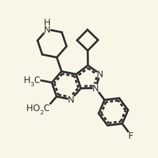 Cc1c(C(=O)O)nc2c(c(C3CCC3)nn2-c2ccc(F)cc2)c1C1CCNCC1